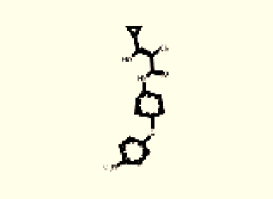 N#CC(C(=O)Nc1ccc(Oc2ccc([N+](=O)[O-])cc2)cc1)=C(O)C1CC1